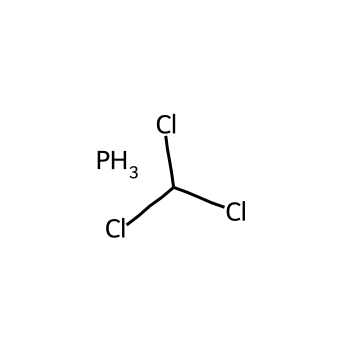 ClC(Cl)Cl.P